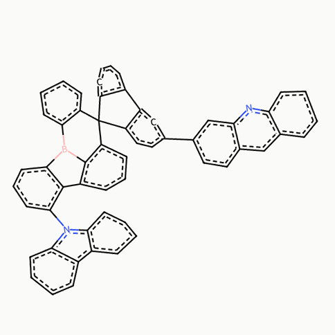 c1ccc2c(c1)B1c3cccc(-n4c5ccccc5c5ccccc54)c3-c3cccc(c31)C21c2ccccc2-c2cc(-c3ccc4cc5ccccc5nc4c3)ccc21